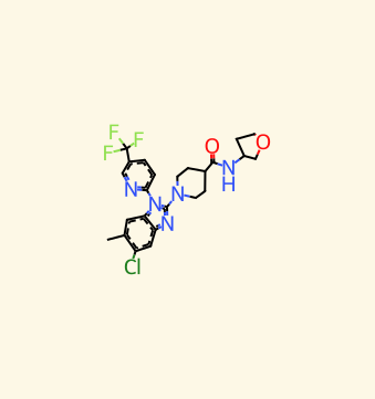 Cc1cc2c(cc1Cl)nc(N1CCC(C(=O)NC3CCOC3)CC1)n2-c1ccc(C(F)(F)F)cn1